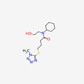 Cn1nnnc1SCCCC(=O)N(CCO)C1CCCCC1